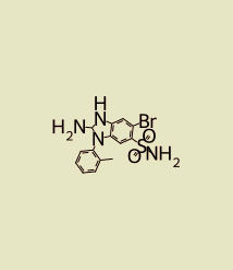 Cc1ccccc1N1c2cc(S(N)(=O)=O)c(Br)cc2NC1N